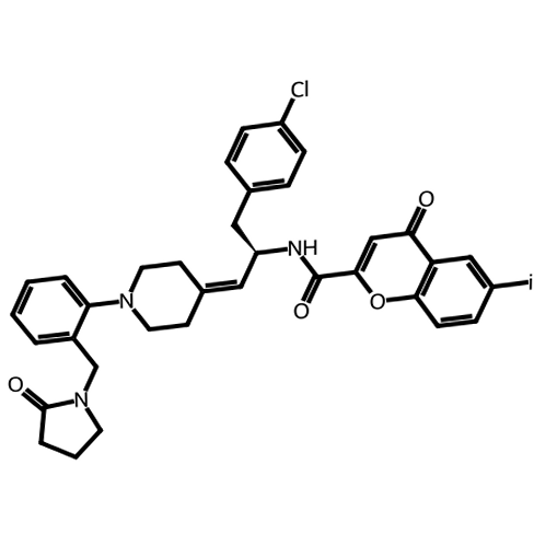 CC(C)c1ccc2oc(C(=O)N[C@@H](C=C3CCN(c4ccccc4CN4CCCC4=O)CC3)Cc3ccc(Cl)cc3)cc(=O)c2c1